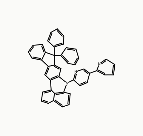 c1ccc(C2(c3ccccc3)c3ccccc3-c3cc4c(cc32)N(c2ccc(-c3ccccn3)cn2)c2cccc3cccc-4c23)cc1